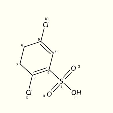 O=S(=O)(O)C1=C(Cl)C[CH]C(Cl)=C1